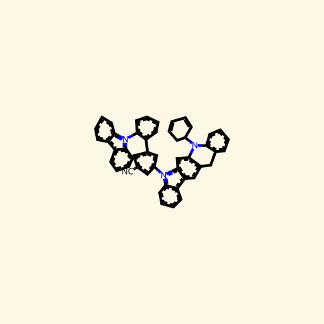 N#Cc1cc(-c2ccccc2-n2c3ccccc3c3ccccc32)cc(-n2c3ccccc3c3cc4c(cc32)N(C2C=CC=CC2)c2ccccc2C4)c1